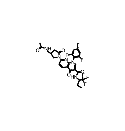 CCC(NC(=O)c1cn(-c2c(F)cc(F)cc2F)c2nc(N3CC(CNC(C)=O)CC3=O)ccc2c1=O)C(F)(F)F